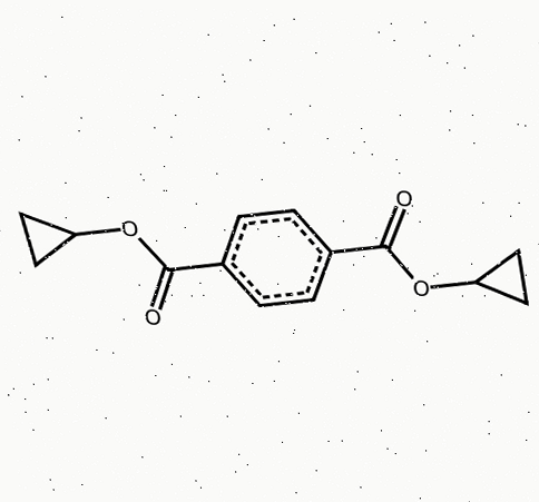 O=C(OC1CC1)c1ccc(C(=O)OC2CC2)cc1